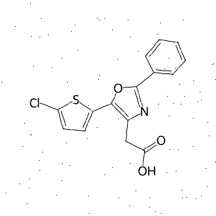 O=C(O)Cc1nc(-c2ccccc2)oc1-c1ccc(Cl)s1